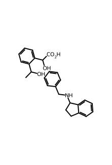 CC(O)c1ccccc1C(O)C(=O)O.c1ccc(CNC2CCc3ccccc32)cc1